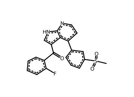 CS(=O)(=O)c1cccc(-c2ccnc3[nH]cc(C(=O)c4ccccc4F)c23)c1